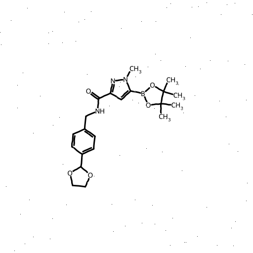 Cn1nc(C(=O)NCc2ccc(C3OCCO3)cc2)cc1B1OC(C)(C)C(C)(C)O1